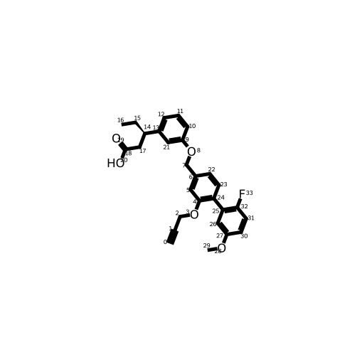 C#CCOc1cc(COc2cccc([C@H](CC)CC(=O)O)c2)ccc1-c1cc(OC)ccc1F